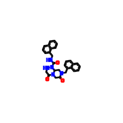 O=C1CN2C(=O)CNN(C(=O)NCc3cccc4ccccc34)C2CN1Cc1cccc2ccccc12